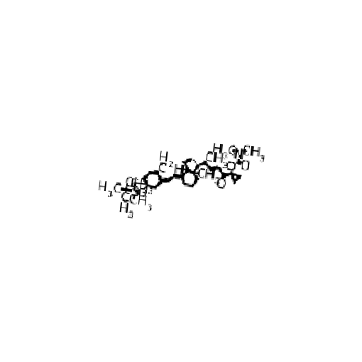 C=C1CC[C@H](O[Si](C)(C)C(C)(C)C)C/C1=C/C=C1\CCC[C@]2(C)[C@@H]([C@H](C)/C=C/C(=O)C3(OC(=O)N(C)C)CC3)CC[C@@H]12